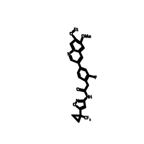 CCOc1cc2ncc(-c3ccc(CC(=O)Nc4cc(C5(C(F)(F)F)CC5)on4)c(F)c3)cc2cc1OC